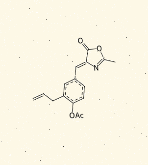 C=CCc1cc(/C=C2\N=C(C)OC2=O)ccc1OC(C)=O